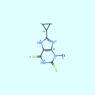 CCn1c(=S)[nH]c(=S)c2[nH]c(C3CC3)nc21